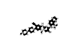 C#Cc1cc(Nc2ncc(Br)c(Nc3ccc4nccnc4c3P(C)C)n2)c(OC)cc1N1CCC(N2CCN(C)CC2)CC1